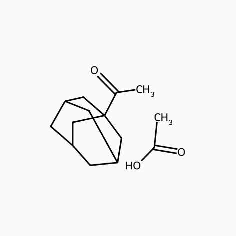 CC(=O)C12CC3CC(CC(C3)C1)C2.CC(=O)O